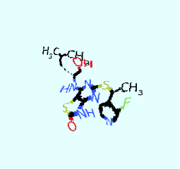 CC(C)C[C@H](CO)Nc1nc(S[C@@H](C)c2ccncc2F)nc2[nH]c(=O)sc12